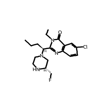 CCC[C@@H](c1nc2ccc(Cl)cc2c(=O)n1CC)N1CCN[C@@H](CF)C1